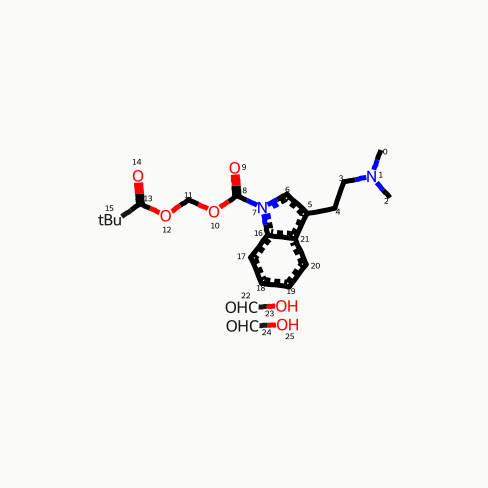 CN(C)CCc1cn(C(=O)OCOC(=O)C(C)(C)C)c2ccccc12.O=CO.O=CO